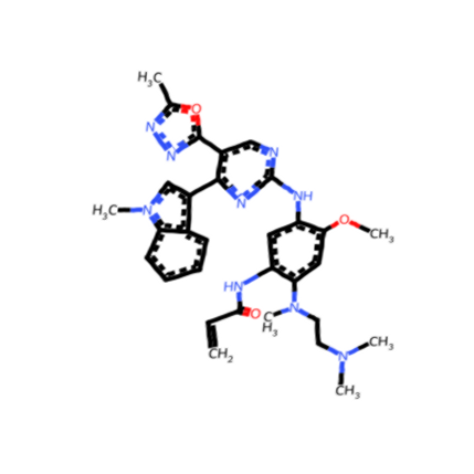 C=CC(=O)Nc1cc(Nc2ncc(-c3nnc(C)o3)c(-c3cn(C)c4ccccc34)n2)c(OC)cc1N(C)CCN(C)C